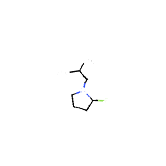 CC(C)CN1CCCC1F